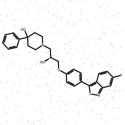 O[C@H](COc1ccc(-c2onc3cc(F)ccc23)cc1)CN1CCC(O)(c2ccccc2)CC1